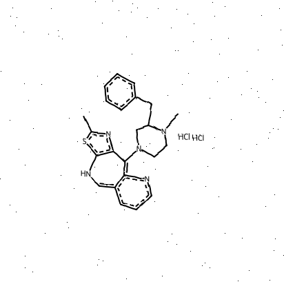 Cc1nc2c(s1)NC=c1cccnc1=C2N1CCN(C)C(Cc2ccccc2)C1.Cl.Cl